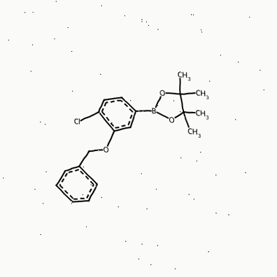 CC1(C)OB(c2ccc(Cl)c(OCc3ccccc3)c2)OC1(C)C